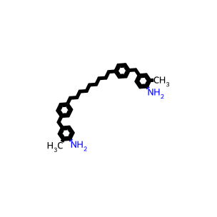 Cc1cc(Cc2ccc(CCCCCCCCCc3ccc(Cc4ccc(N)c(C)c4)cc3)cc2)ccc1N